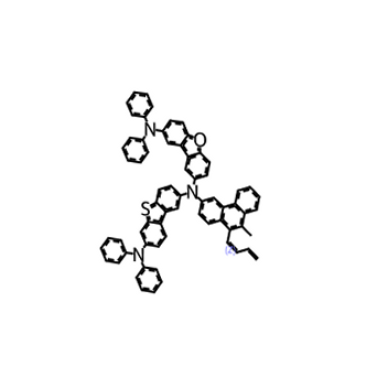 C=C/C=C\c1c(C)c2ccccc2c2cc(N(c3ccc4oc5ccc(N(c6ccccc6)c6ccccc6)cc5c4c3)c3ccc4sc5cc(N(c6ccccc6)c6ccccc6)ccc5c4c3)ccc12